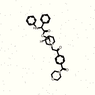 O=C(C[N+]12CCC(CC1)[C@@H](OC(=O)C(Nc1ccccc1)c1ccccc1)C2)c1ccc(C(=O)N2CCOCC2)cc1